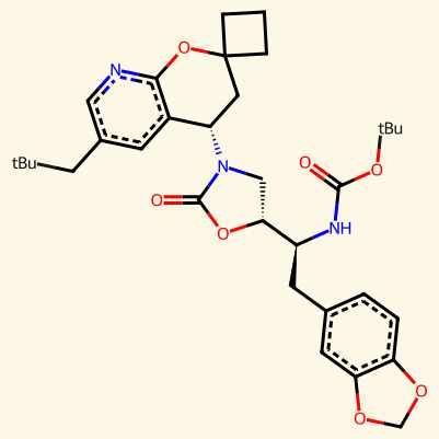 CC(C)(C)Cc1cnc2c(c1)[C@@H](N1C[C@H]([C@H](Cc3ccc4c(c3)OCO4)NC(=O)OC(C)(C)C)OC1=O)CC1(CCC1)O2